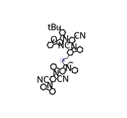 C=Cc1c(/C=C\Cc2ccc3c(c2)c2ccccc2n3-c2cc(C#N)cc(-n3c4ccc(C(C)(C)C)cc4c4c5oc6ccccc6c5ccc43)c2C#N)c2c3c4ccccc4n(-c4cc(C#N)c(-n5c6ccccc6c6ccccc65)cc4C#N)c3ccc2n1-c1ccccc1